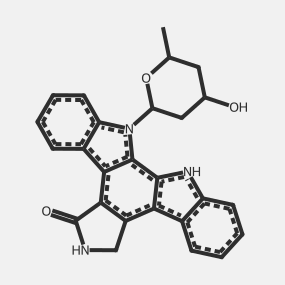 CC1CC(O)CC(n2c3ccccc3c3c4c(c5c6ccccc6[nH]c5c32)CNC4=O)O1